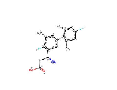 Cc1cc(-c2c(C)cc(F)cc2C)cc([C@@H](N)CC(=O)O)c1F